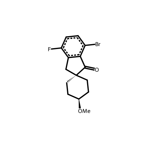 CO[C@H]1CC[C@]2(CC1)Cc1c(F)ccc(Br)c1C2=O